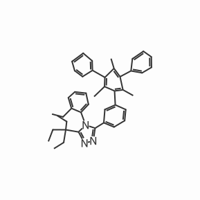 CCc1ccccc1-n1c(-c2cccc(-c3c(C)c(-c4ccccc4)c(C)c(-c4ccccc4)c3C)c2)nnc1C(CC)(CC)CC